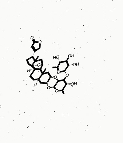 CC1O[C@@H](OC2[C@@H](O)C(C)O[C@@H](O[C@H]3CCC4(C)C5CCC6(C)[C@@H](C7=CC(=O)OC7)CC[C@]6(O)[C@@H]5CC[C@@H]4C3)[C@H]2O)[C@@H](O)C(O)[C@H]1O